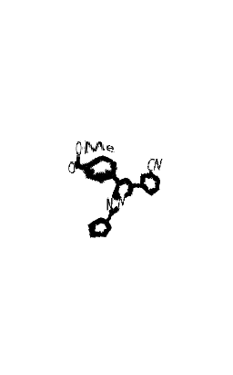 COC(=O)c1ccc(-c2cc(-c3cccc(C#N)c3)cn3cc(-c4ccccc4)nc23)cc1